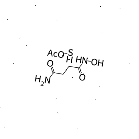 CC(=O)OS.NC(=O)CCC(=O)NO